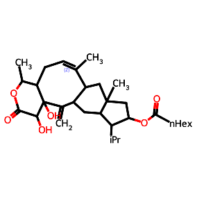 C=C1C2CC3C(C(C)C)C(OC(=O)CCCCCC)CC3(C)CC2/C(C)=C\CC2C(C)OC(=O)C(O)C12O